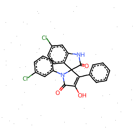 O=C1C(O)=C(c2ccccc2)C2(C(=O)Nc3cc(Cl)ccc32)N1c1cccc(Cl)c1